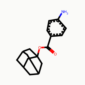 Nc1ccc(C(=O)OC23CC4CC(CC(C4)C2)C3)cc1